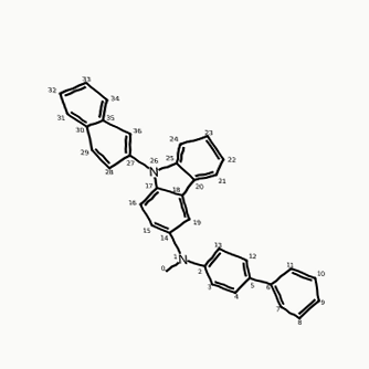 CN(c1ccc(-c2ccccc2)cc1)c1ccc2c(c1)c1ccccc1n2-c1ccc2ccccc2c1